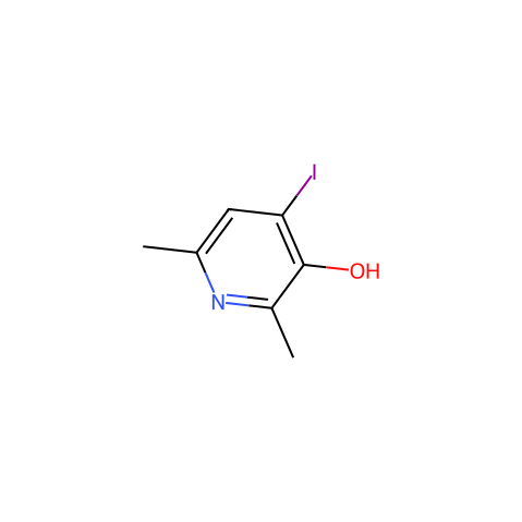 Cc1cc(I)c(O)c(C)n1